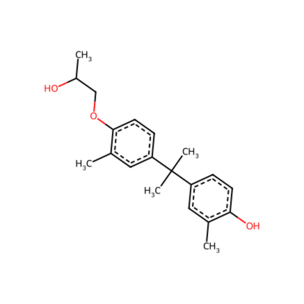 Cc1cc(C(C)(C)c2ccc(OCC(C)O)c(C)c2)ccc1O